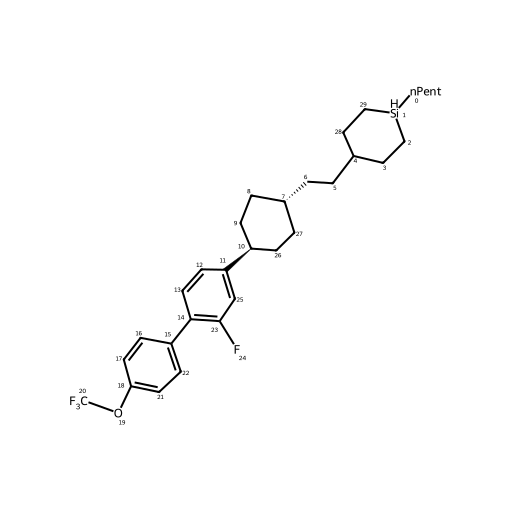 CCCCC[SiH]1CCC(CC[C@H]2CC[C@H](c3ccc(-c4ccc(OC(F)(F)F)cc4)c(F)c3)CC2)CC1